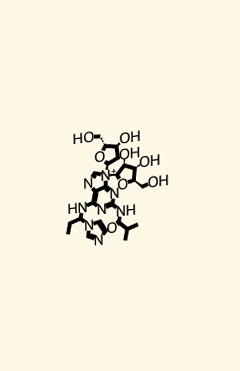 CCC(Nc1nc(NC(=O)C(C)C)nc2c1N=C[N+]2([C@@H]1C[C@H](O)[C@@H](CO)O1)[C@@H]1O[C@H](CO)[C@@H](O)[C@H]1O)n1ccnc1